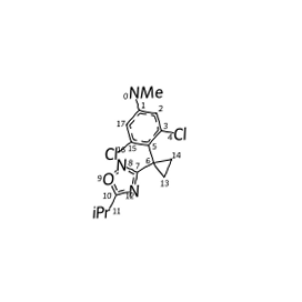 CNc1cc(Cl)c(C2(c3noc(C(C)C)n3)CC2)c(Cl)c1